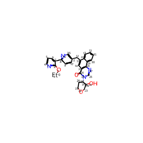 CCOc1ncccc1-c1ccc(Cc2cc3c(=O)n([C@H]4CCOC[C@@H]4O)cnc3c3ccccc23)cn1